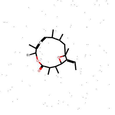 CC=C1C2OC1(C)CC(C)C(C)C=C=C(C)C(CC)OC(=O)C(C)C2C